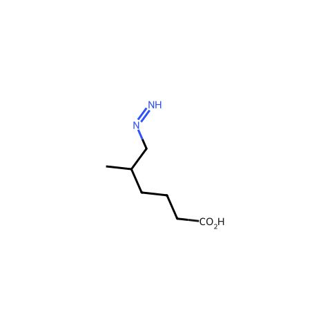 CC(CCCC(=O)O)CN=N